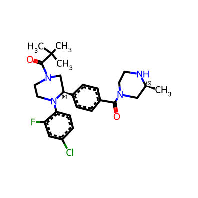 C[C@H]1CN(C(=O)c2ccc([C@@H]3CN(C(=O)C(C)(C)C)CCN3c3ccc(Cl)cc3F)cc2)CCN1